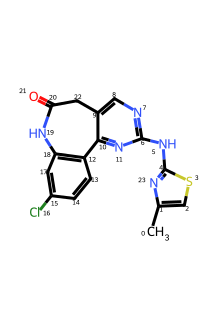 Cc1csc(Nc2ncc3c(n2)-c2ccc(Cl)cc2NC(=O)C3)n1